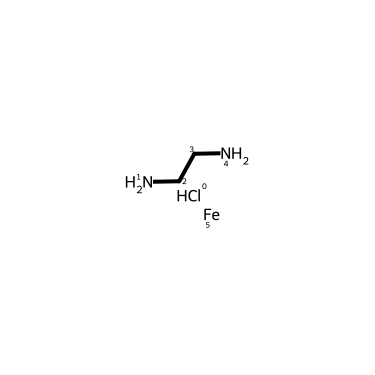 Cl.NCCN.[Fe]